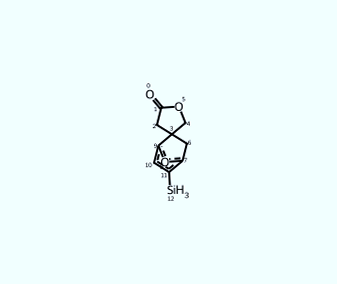 O=C1CC2(CO1)Cc1oc2cc1[SiH3]